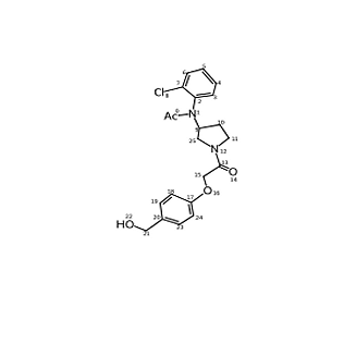 CC(=O)N(c1ccccc1Cl)C1CCN(C(=O)COc2ccc(CO)cc2)C1